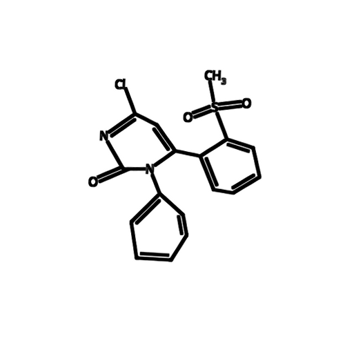 CS(=O)(=O)c1ccccc1-c1cc(Cl)nc(=O)n1-c1ccccc1